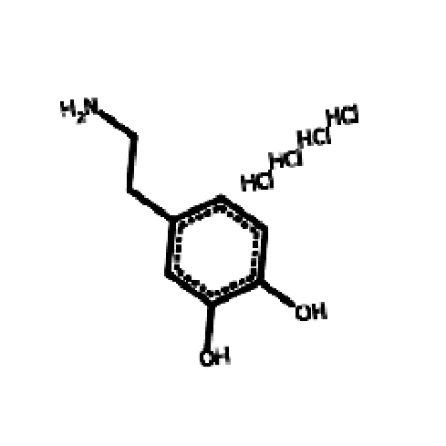 Cl.Cl.Cl.Cl.NCCc1ccc(O)c(O)c1